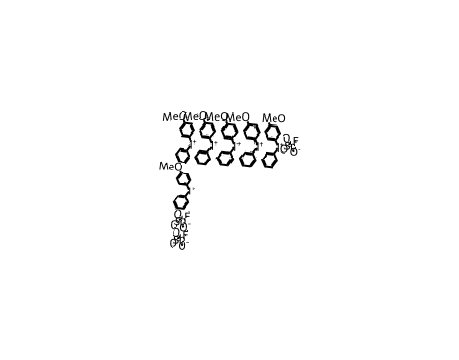 COc1ccc([I+]c2ccccc2)cc1.COc1ccc([I+]c2ccccc2)cc1.COc1ccc([I+]c2ccccc2)cc1.COc1ccc([I+]c2ccccc2)cc1.COc1ccc([I+]c2ccccc2)cc1.COc1ccc([I+]c2ccccc2)cc1.[O]=[Sb]([O-])([O-])[F].[O]=[Sb]([O-])([O-])[F].[O]=[Sb]([O-])([O-])[F]